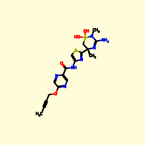 CC#CCOc1cnc(C(=O)Nc2csc([C@]3(C)CS(O)(O)N(C)C(N)=N3)n2)cn1